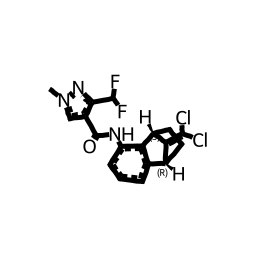 Cn1cc(C(=O)Nc2cccc3c2[C@@H]2CC[C@H]3C2=C(Cl)Cl)c(C(F)F)n1